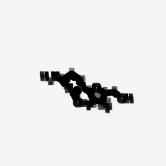 Nc1ccn(C2OC(CO)C([18F])C2[18F])c(=O)n1